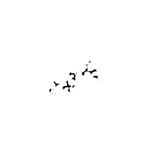 CCON=C(C(=O)NC1C(=O)N2CC(COC)(C(=O)OC(C)OC(=O)OC)CS[C@H]12)c1csc(N)n1